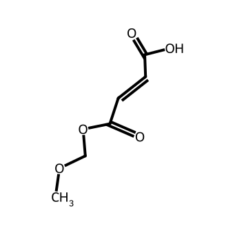 COCOC(=O)C=CC(=O)O